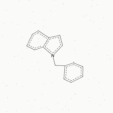 [c]1ccccc1Cn1ccc2ccccc21